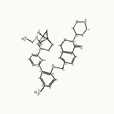 CCOC(=O)[C@@]12CCN(c3cccc(-c4cc(C)ccc4OCc4ccc5c(c4)CCN(C4CCOCC4)C5=O)n3)C[C@@H]1C2